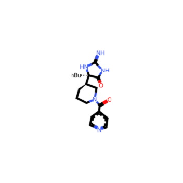 CCCC[C@]1([C@@H]2CCCN(C(=O)c3ccncc3)C2)NC(=N)NC1=O